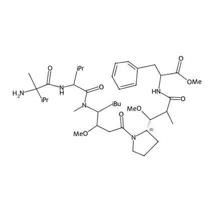 CCC(C)C(C(CC(=O)N1CCC[C@H]1C(OC)C(C)C(=O)NC(Cc1ccccc1)C(=O)OC)OC)N(C)C(=O)C(NC(=O)C(C)(N)C(C)C)C(C)C